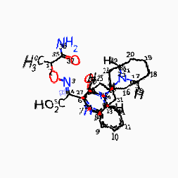 CC(O/N=C(\C(=O)O)c1nc2ccccc2n(C2C[C@H]3CCC[C@@H](C2)N3C2C[C@H]3CCC[C@@H](C2)C3)c1=O)C(N)=O